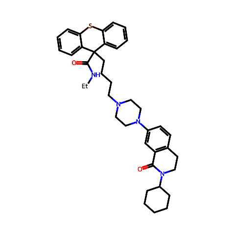 CCNC(=O)C1(CCCCN2CCN(c3ccc4c(c3)C(=O)N(C3CCCCC3)CC4)CC2)c2ccccc2Sc2ccccc21